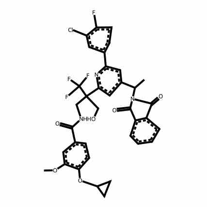 COc1cc(C(=O)NCC(CO)(c2cc(C(C)N3C(=O)c4ccccc4C3=O)cc(-c3ccc(F)c(Cl)c3)n2)C(F)(F)F)ccc1OC1CC1